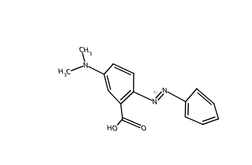 CN(C)c1ccc(/N=N/c2ccccc2)c(C(=O)O)c1